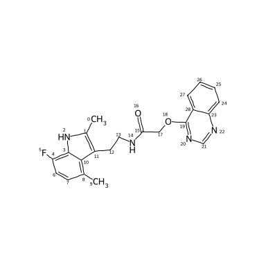 Cc1[nH]c2c(F)ccc(C)c2c1CCNC(=O)COc1ncnc2ccccc12